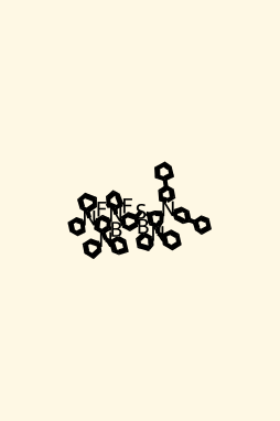 Fc1cccc(F)c1N1c2cc3c(cc2B2c4ccccc4N(c4ccccc4)c4cc(N(c5ccccc5)c5ccccc5)cc1c42)B1c2ccccc2N(c2ccccc2)c2cc(N(c4ccc(-c5ccccc5)cc4)c4ccc(-c5ccccc5)cc4)cc(c21)S3